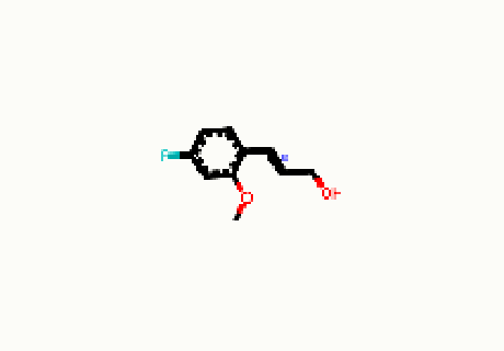 COc1cc(F)ccc1/C=C/CO